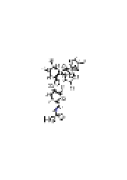 Cc1csc(S(=O)(=O)N(CC(C)C)c2cc(C)c(C)cc2OCc2ccc(/C=C/C(=O)O)cc2C)n1